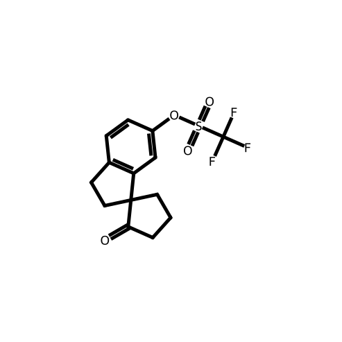 O=C1CCCC12CCc1ccc(OS(=O)(=O)C(F)(F)F)cc12